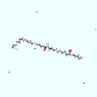 CSCSC/N=C\OOCSCSCSCSC(=O)NCSCSCSC/N=C/[S+]([O-])CCSCCO